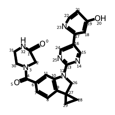 O=C1CN(C(=O)c2ccc3c(c2)N(c2ncc(-c4cc(O)ccn4)cn2)CC32CC2)CCN1